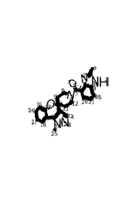 Cc1nc2c(C(=O)N3CCC4(CC3)Oc3ccccc3-c3c4cnn3C)cccc2[nH]1